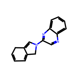 [c]1nc2ccccc2nc1N1C=C2CC=CC=C2C1